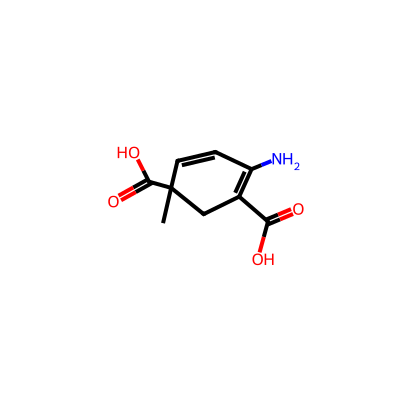 CC1(C(=O)O)C=CC(N)=C(C(=O)O)C1